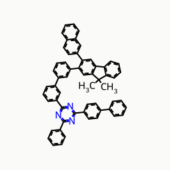 CC1(C)c2ccccc2-c2cc(-c3ccc4ccccc4c3)c(-c3cccc(-c4cccc(-c5nc(-c6ccccc6)nc(-c6ccc(-c7ccccc7)cc6)n5)c4)c3)cc21